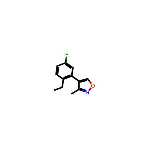 CCc1ccc(F)cc1-c1conc1C